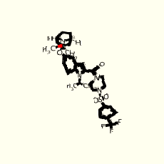 CC(C)N1[C@@H]2CC[C@H]1C[C@@H](Oc1ccc3c(c1)cc(C(=O)N1CCN(S(=O)(=O)c4ccc(C(F)(F)F)cc4)CC1)n3C(C)C)C2